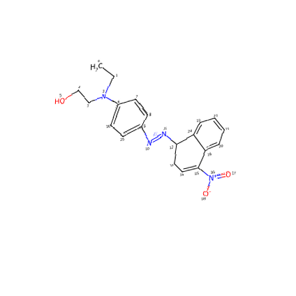 CCN(CCO)c1ccc(/N=N/C2CC=C([N+](=O)[O-])c3ccccc32)cc1